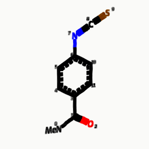 CNC(=O)c1ccc(N=C=S)cc1